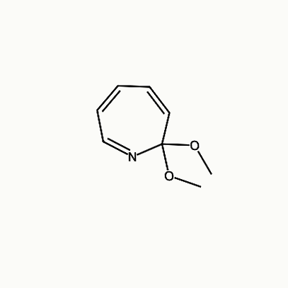 COC1(OC)C=CC=CC=N1